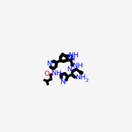 C#Cc1[nH]c(-c2n[nH]c3ccc(-c4cncc(NC(=O)CC(C)C)c4)cc23)nc1/C(=C\N)c1cccnc1